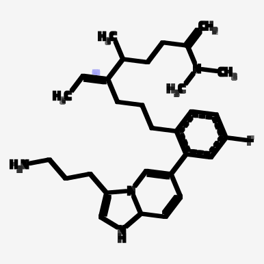 C=C(CCC(C)/C(=C/C)CCCc1ccc(F)cc1C1=CN2C(CCCN)=CNC2C=C1)N(C)C